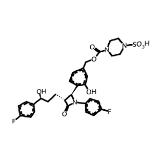 O=C(OCc1ccc([C@@H]2[C@@H](CC[C@H](O)c3ccc(F)cc3)C(=O)N2c2ccc(F)cc2)c(O)c1)N1CCN(S(=O)(=O)O)CC1